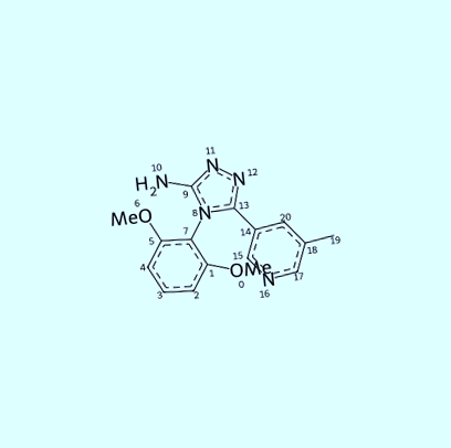 COc1cccc(OC)c1-n1c(N)nnc1-c1cncc(C)c1